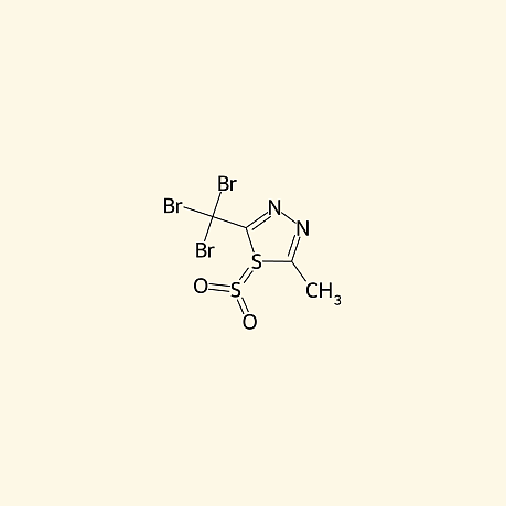 CC1=NN=C(C(Br)(Br)Br)S1=S(=O)=O